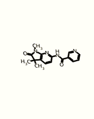 CN1C(=O)C(C)(C)c2ccc(NC(=O)c3cccnc3)nc21